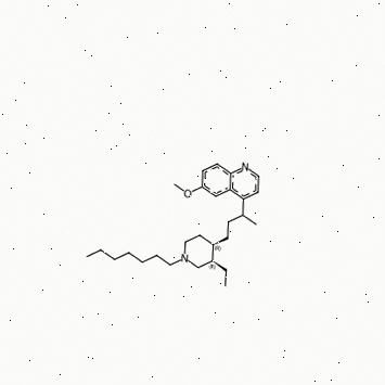 CCCCCCCN1CC[C@@H](CCC(C)c2ccnc3ccc(OC)cc23)[C@@H](CC)C1